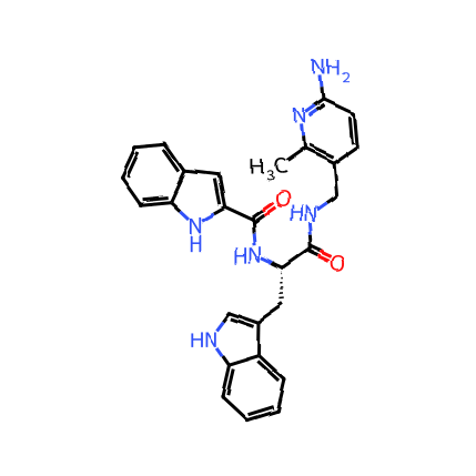 Cc1nc(N)ccc1CNC(=O)[C@H](Cc1c[nH]c2ccccc12)NC(=O)c1cc2ccccc2[nH]1